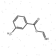 Cc1cccc(C(=O)OC=N)c1